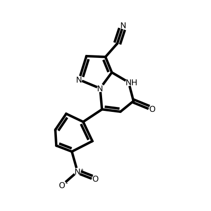 N#Cc1cnn2c(-c3cccc([N+](=O)[O-])c3)cc(=O)[nH]c12